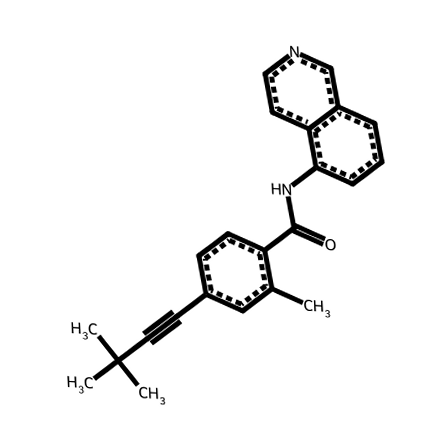 Cc1cc(C#CC(C)(C)C)ccc1C(=O)Nc1cccc2cnccc12